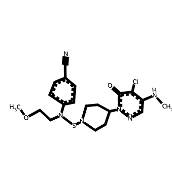 CNc1cnn(C2CCN(SN(CCOC)c3ccc(C#N)cc3)CC2)c(=O)c1Cl